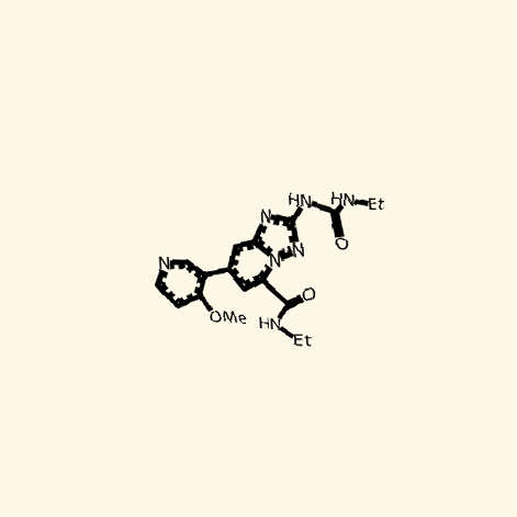 CCNC(=O)Nc1nc2cc(-c3cnccc3OC)cc(C(=O)NCC)n2n1